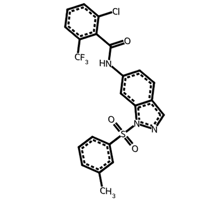 Cc1cccc(S(=O)(=O)n2ncc3ccc(NC(=O)c4c(Cl)cccc4C(F)(F)F)cc32)c1